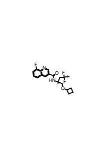 C[C@@](COC1CCC1)(CC(F)(F)F)NC(=O)c1cnc2c(F)cccc2c1